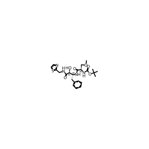 COC[C@@H](NC(=O)OC(C)(C)C)C(=O)N[C@H](Cc1ccccc1)[C@H](O)C(=O)NCc1nccs1